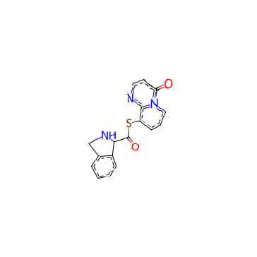 O=C(Sc1cccn2c(=O)ccnc12)C1NCc2ccccc21